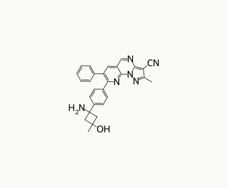 Cc1nn2c(ncc3cc(-c4ccccc4)c(-c4ccc(C5(N)CC(C)(O)C5)cc4)nc32)c1C#N